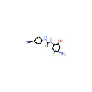 N#Cc1ccc(NC(=O)Nc2cc(Cl)c(N)cc2O)cc1